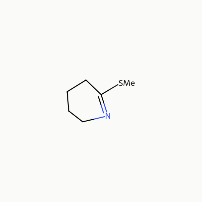 CSC1=NCCCC1